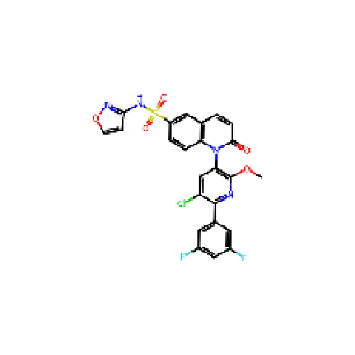 COc1nc(-c2cc(F)cc(F)c2)c(Cl)cc1-n1c(=O)ccc2cc(S(=O)(=O)Nc3ccon3)ccc21